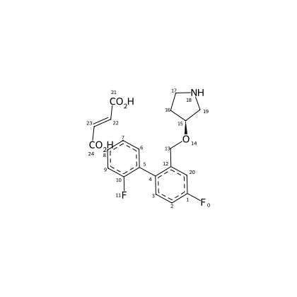 Fc1ccc(-c2ccccc2F)c(CO[C@H]2CCNC2)c1.O=C(O)C=CC(=O)O